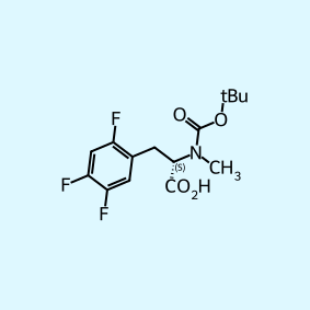 CN(C(=O)OC(C)(C)C)[C@@H](Cc1cc(F)c(F)cc1F)C(=O)O